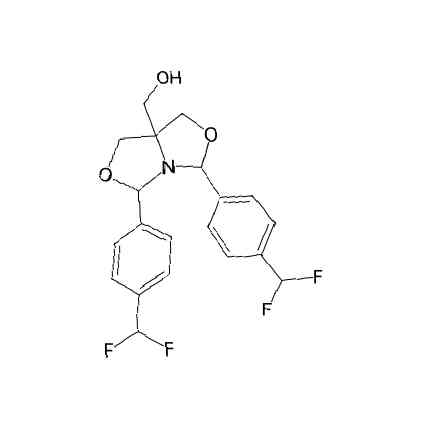 OCC12COC(c3ccc(C(F)F)cc3)N1C(c1ccc(C(F)F)cc1)OC2